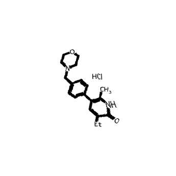 CCc1cc(-c2ccc(CN3CCOCC3)cc2)c(C)[nH]c1=O.Cl